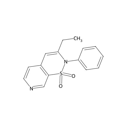 CCC1=Cc2ccncc2S(=O)(=O)N1c1ccccc1